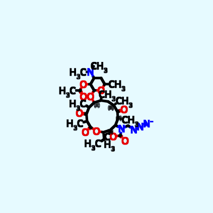 CCC1OC(=O)C(C)C(=O)C(C)[C@@H](OC2OC(C)CC(N(C)C)C2OC(C)=O)C(C)C[C@@H](C)C(=O)[C@H](C)C2N(CN=[N+]=[N-])C(=O)O[C@]12C